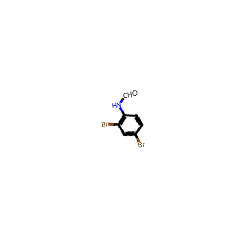 O=CNc1ccc(Br)cc1Br